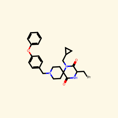 CC(C)CC1NC(=O)C2(CCN(Cc3ccc(Oc4ccccc4)cc3)CC2)N(CC2CC2)C1=O